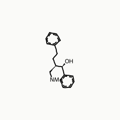 CNC[C@@H](CCc1ccccc1)[C@@H](O)c1ccccc1